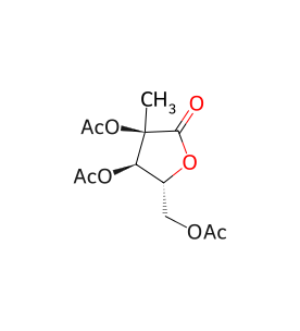 CC(=O)OC[C@H]1OC(=O)[C@](C)(OC(C)=O)[C@@H]1OC(C)=O